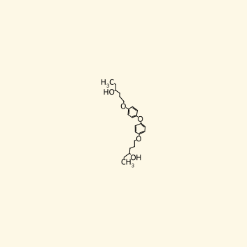 CCC(O)CCCOc1ccc(Oc2ccc(OCCCC(O)CC)cc2)cc1